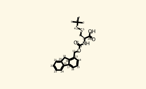 CC(C)(C)SSC[C@H](NC(=O)OCc1cccc2c1Cc1ccccc1-2)C(=O)O